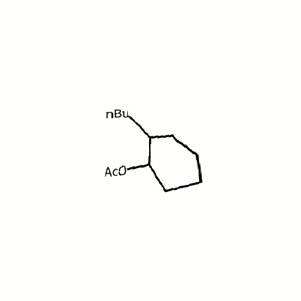 CCCCC1CCCCC1OC(C)=O